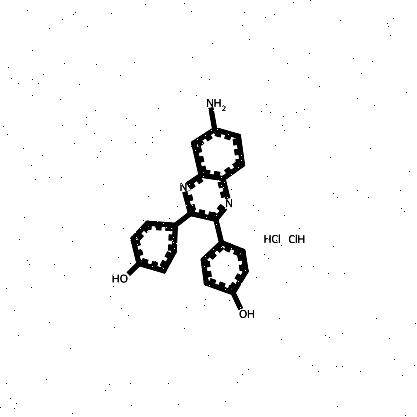 Cl.Cl.Nc1ccc2nc(-c3ccc(O)cc3)c(-c3ccc(O)cc3)nc2c1